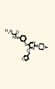 CN1CCN(c2ncc(Sc3cccc(NC(=O)CN)c3)c(OCc3ccoc3)n2)CC1